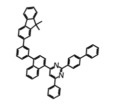 CC1(C)c2ccccc2-c2ccc(-c3cccc(-c4ccc(-c5cc(-c6ccccc6)nc(-c6ccc(-c7ccccc7)cc6)n5)c5ccccc45)c3)cc21